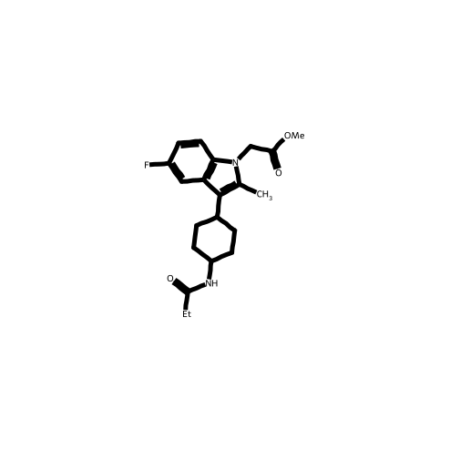 CCC(=O)NC1CCC(c2c(C)n(CC(=O)OC)c3ccc(F)cc23)CC1